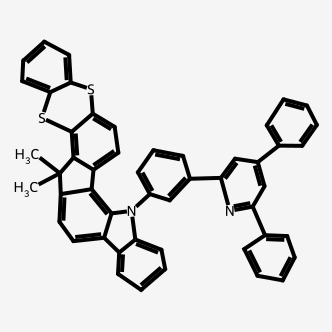 CC1(C)c2ccc3c4ccccc4n(-c4cccc(-c5cc(-c6ccccc6)cc(-c6ccccc6)n5)c4)c3c2-c2ccc3c(c21)Sc1ccccc1S3